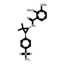 COc1cccc(C(=O)N[C@@H]2[C@@H](c3ccc(S(N)(=O)=O)cc3)C2(C)C)c1OC